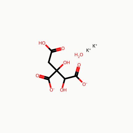 O.O=C(O)CC(O)(C(=O)[O-])C(O)C(=O)[O-].[K+].[K+]